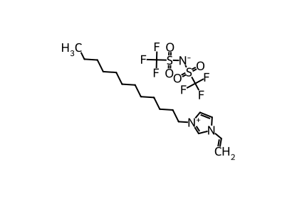 C=Cn1cc[n+](CCCCCCCCCCCC)c1.O=S(=O)([N-]S(=O)(=O)C(F)(F)F)C(F)(F)F